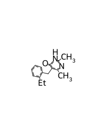 CCc1ccccc1Cc1c(C)nc(C)[nH]c1=O